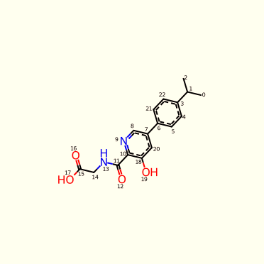 CC(C)c1ccc(-c2cnc(C(=O)NCC(=O)O)c(O)c2)cc1